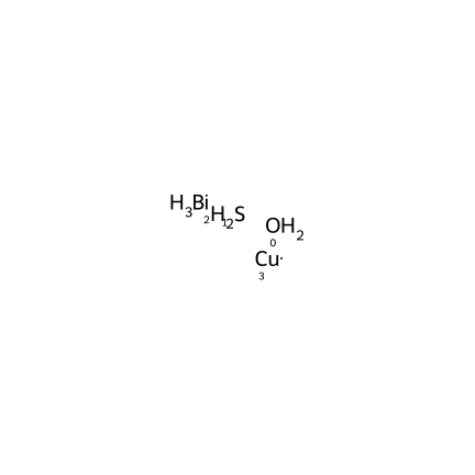 O.S.[BiH3].[Cu]